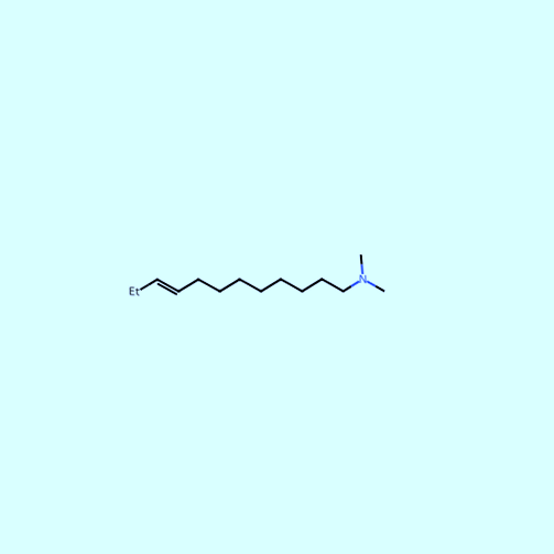 CC/C=C/CCCCCCCCN(C)C